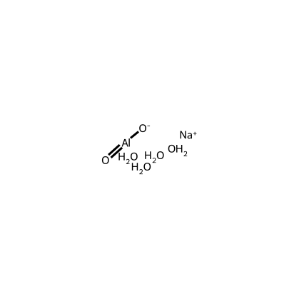 O.O.O.O.[Na+].[O]=[Al][O-]